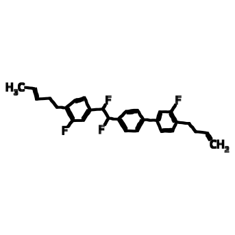 C=CCCc1ccc(-c2ccc(C(F)C(F)c3ccc(CC/C=C/C)c(F)c3)cc2)cc1F